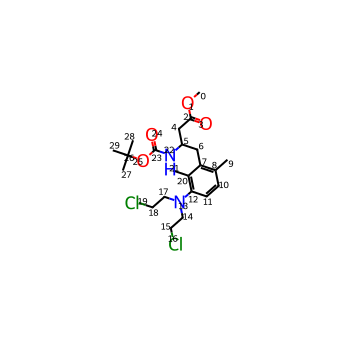 COC(=O)CC(Cc1c(C)ccc(N(CCCl)CCCl)c1C)NC(=O)OC(C)(C)C